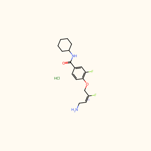 Cl.NC/C=C(/F)COc1ccc(C(=O)NC2CCCCC2)cc1F